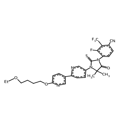 CCOCCCCOc1ccc(-c2ccc(N3C(=S)N(c4ccc(C#N)c(C(F)(F)F)c4F)C(=O)C3(C)C)cn2)cn1